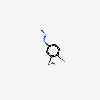 C/N=N/c1ccc(C(C)=O)c(OC)c1